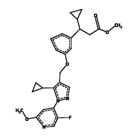 COC(=O)CC(c1cccc(OCc2cnn(-c3cc(OC)ncc3F)c2C2CC2)c1)C1CC1